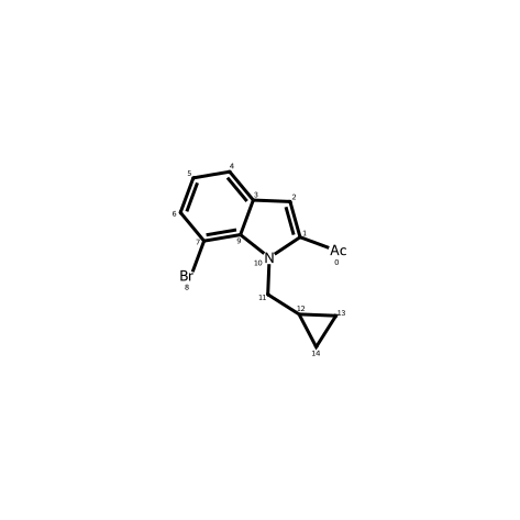 CC(=O)c1cc2cccc(Br)c2n1CC1CC1